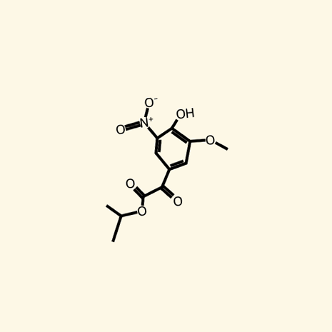 COc1cc(C(=O)C(=O)OC(C)C)cc([N+](=O)[O-])c1O